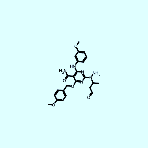 COc1ccc(COc2nc(N(N)C(C)CC=O)nc(Nc3cccc(OC)c3)c2C(N)=O)cc1